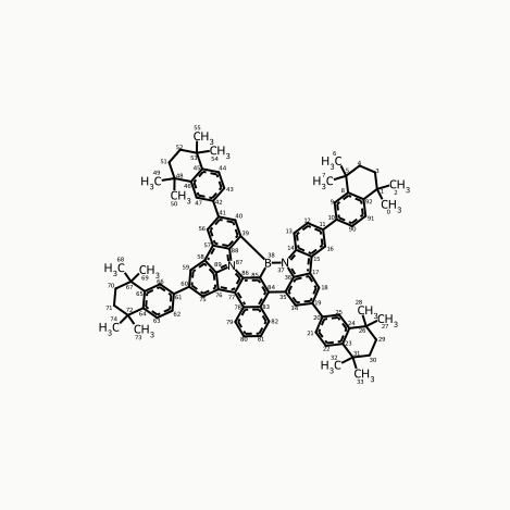 CC1(C)CCC(C)(C)c2cc(-c3ccc4c(c3)c3cc(-c5ccc6c(c5)C(C)(C)CCC6(C)C)cc5c3n4B3c4cc(-c6ccc7c(c6)C(C)(C)CCC7(C)C)cc6c7cc(-c8ccc9c(c8)C(C)(C)CCC9(C)C)cc8c9c%10ccccc%10c-5c3c9n(c46)c78)ccc21